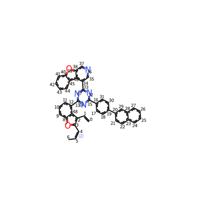 C=Cc1c(/C=C\C)oc2cccc(-c3nc(-c4ccc(-c5ccc6ccccc6c5)cc4)nc(-c4cncc5oc6ccccc6c45)n3)c12